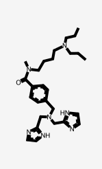 CCCN(CCC)CCCCN(C)C(=O)c1ccc(CN(Cc2ncc[nH]2)Cc2ncc[nH]2)cc1